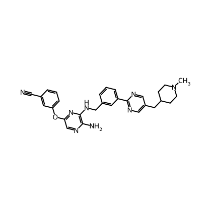 CN1CCC(Cc2cnc(-c3cccc(CNc4nc(Oc5cccc(C#N)c5)cnc4N)c3)nc2)CC1